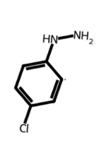 NNc1[c]cc(Cl)cc1